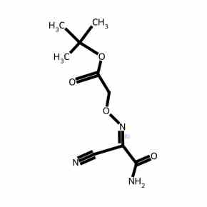 CC(C)(C)OC(=O)CO/N=C(\C#N)C(N)=O